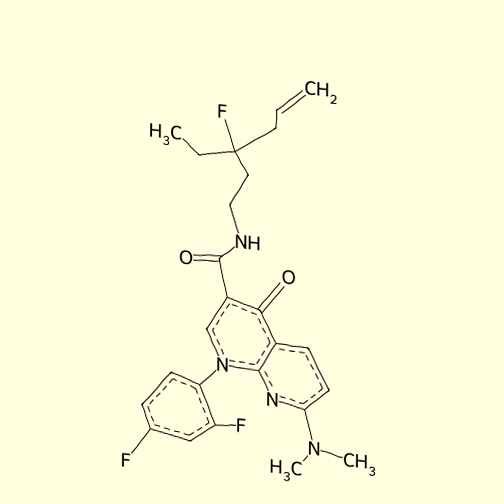 C=CCC(F)(CC)CCNC(=O)c1cn(-c2ccc(F)cc2F)c2nc(N(C)C)ccc2c1=O